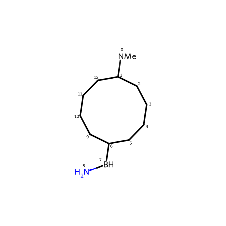 CNC1CCCCC(BN)CCCC1